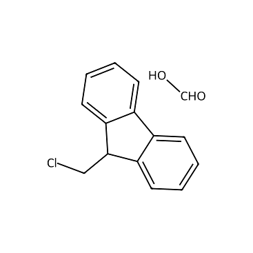 ClCC1c2ccccc2-c2ccccc21.O=CO